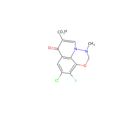 CN1COc2c(F)c(Cl)cc3c(=O)c(C(=O)O)cn1c23